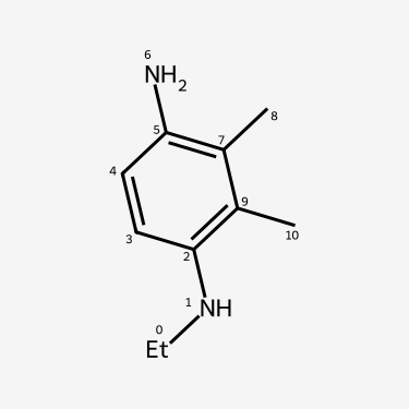 CCNc1ccc(N)c(C)c1C